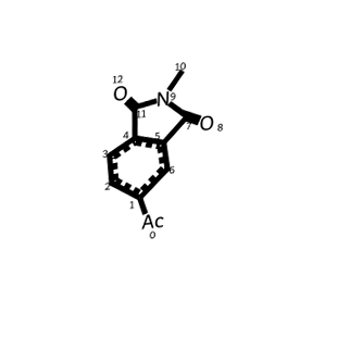 CC(=O)c1ccc2c(c1)C(=O)N(C)C2=O